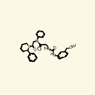 O=C(NCC(=O)N(CC(=O)N1CCCCC1c1ccccc1)c1ccccc1)Nc1cccc(CO)c1